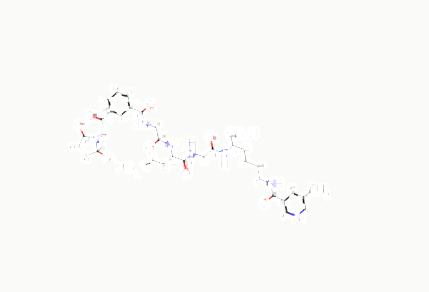 Cc1cncc(C(=O)NCCCCC(NC(=O)CNC(=O)C(CCC(=O)O)NC(=O)CNC(=O)c2cccc(C(=O)ON3C(=O)CCC3=O)c2)C(=O)O)c1